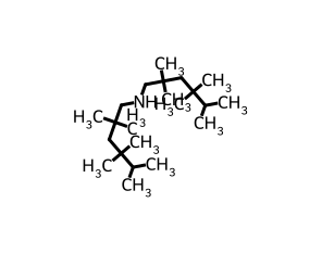 CC(C)C(C)(C)CC(C)(C)CNCC(C)(C)CC(C)(C)C(C)C